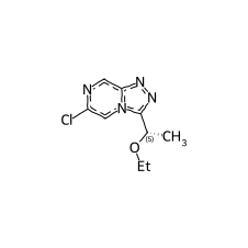 CCO[C@@H](C)c1nnc2cnc(Cl)cn12